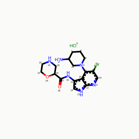 Cl.NC1CCCN(c2c(Br)cnc3[nH]cc(NC(=O)C4CNCCO4)c23)C1